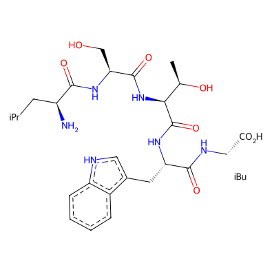 CC[C@H](C)[C@H](NC(=O)[C@H](Cc1c[nH]c2ccccc12)NC(=O)[C@@H](NC(=O)[C@H](CO)NC(=O)[C@@H](N)CC(C)C)[C@@H](C)O)C(=O)O